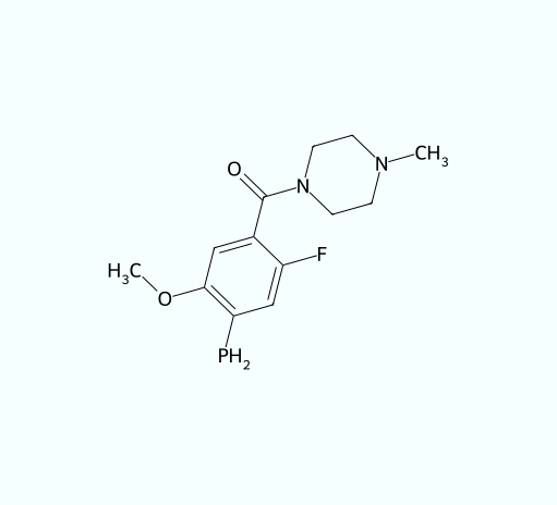 COc1cc(C(=O)N2CCN(C)CC2)c(F)cc1P